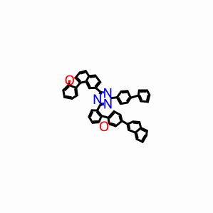 c1ccc(-c2ccc(-c3nc(-c4ccc5ccc6oc7ccccc7c6c5c4)nc(-c4cccc5oc6cc(-c7ccc8ccccc8c7)ccc6c45)n3)cc2)cc1